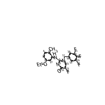 CCOc1ccc(C)c(Nc2nc(=O)c(F)cn2Cc2cc(F)c(F)c(F)c2)c1